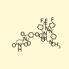 CN(CCOCCOc1ccc2c(c1)C(=O)N(C1CCC(=O)NC1=O)C2=O)c1cccc(-n2c(NC(=O)c3cccc(C(F)(F)F)c3)nc3cc(F)ccc32)c1